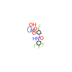 O=C(Nc1cc(F)c(F)c(F)c1)c1ccc(CF)c(S(=O)(=O)N2CCCCC(O)C2)c1